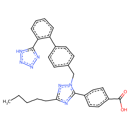 CCCCCc1nc(-c2ccc(C(=O)O)cc2)n(Cc2ccc(-c3ccccc3-c3nnn[nH]3)cc2)n1